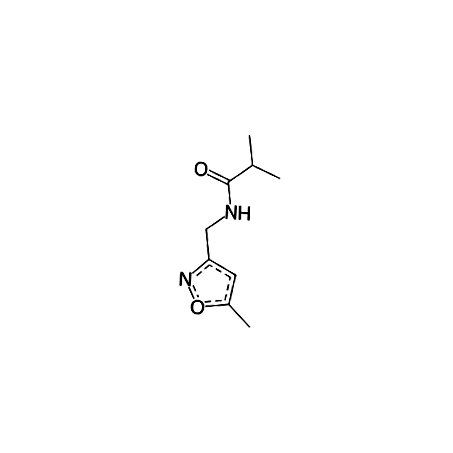 Cc1cc(CNC(=O)C(C)C)no1